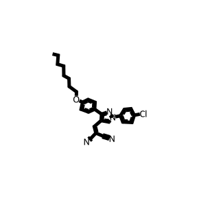 CCCCCCCCOc1ccc(-c2nn(-c3ccc(Cl)cc3)cc2C=C(C#N)C#N)cc1